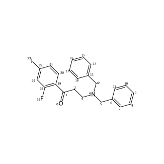 O=C(CCN(Cc1ccccc1)Cc1ccccc1)c1ccc(I)cc1F